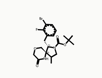 CC1CN(C(=O)OC(C)(C)C)[C@@H](Cc2cccc(Br)c2F)[C@]12COCC(=O)N2